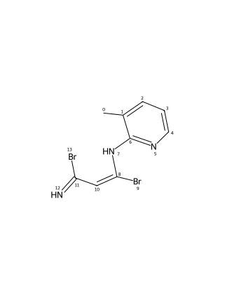 Cc1cccnc1N/C(Br)=C\C(=N)Br